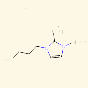 CCCCCCCCCCCCCN1C=CN(CCCCCCC)C1CCCCCCC